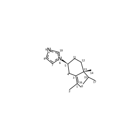 CC(C)=C1C[C@@H](n2ccnc2)CC[C@]1(C)C(C)C